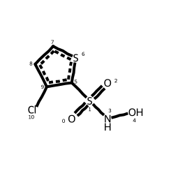 O=S(=O)(NO)c1sccc1Cl